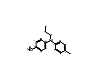 CCCN(c1ccc(C)cc1)c1ccc(O)cc1